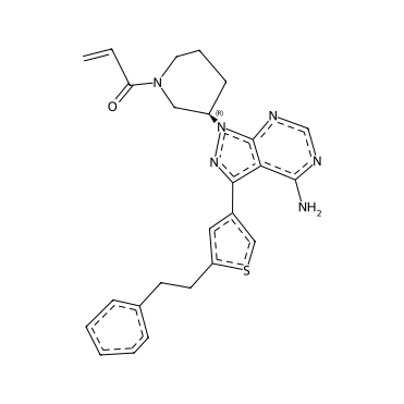 C=CC(=O)N1CCC[C@@H](n2nc(-c3csc(CCc4ccccc4)c3)c3c(N)ncnc32)C1